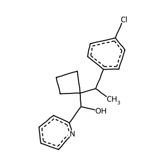 CC(c1ccc(Cl)cc1)C1(C(O)c2ccccn2)CCC1